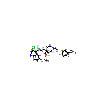 COc1ccc2ncc(Cl)c([C@H](F)CCC3(CO)CCN(CCSc4cccc(C)c4)CC3)c2c1